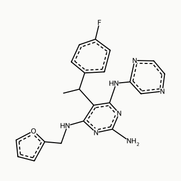 CC(c1ccc(F)cc1)c1c(NCc2ccco2)nc(N)nc1Nc1cnccn1